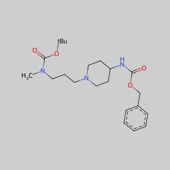 CN(CCCN1CCC(NC(=O)OCc2ccccc2)CC1)C(=O)OC(C)(C)C